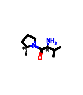 CC(C)[C@H](N)C(=O)N1CCC[C@H]1C